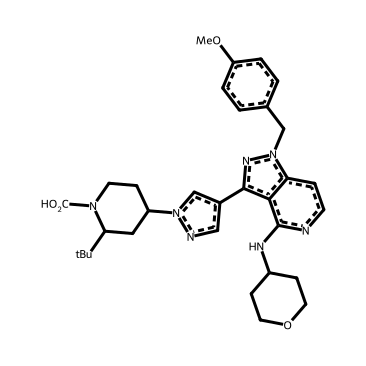 COc1ccc(Cn2nc(-c3cnn(C4CCN(C(=O)O)C(C(C)(C)C)C4)c3)c3c(NC4CCOCC4)nccc32)cc1